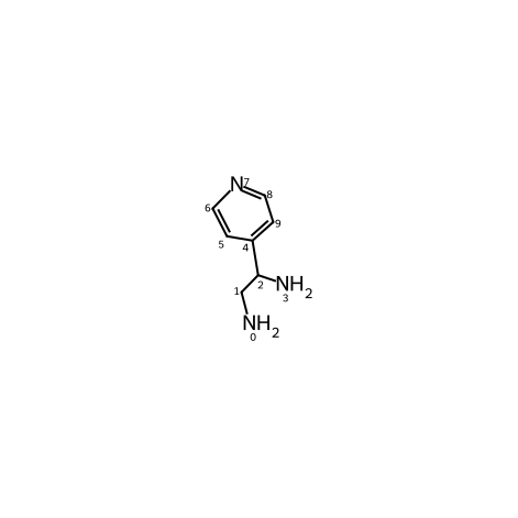 NCC(N)c1ccncc1